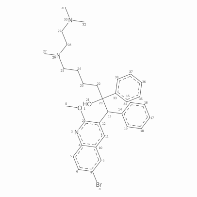 COc1nc2ccc(Br)cc2cc1C(c1ccccc1)C(O)(CCCCN(C)CCN(C)C)c1ccccc1